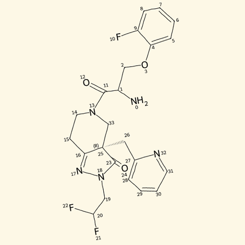 NC(COc1ccccc1F)C(=O)N1CCC2=NN(CC(F)F)C(=O)[C@]2(Cc2ccccn2)C1